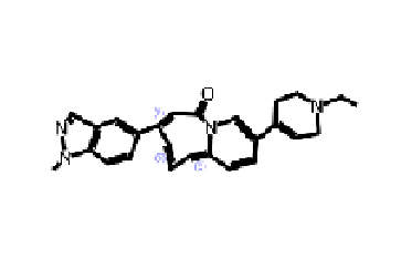 CCN1CC=C(C2=CN3C(=O)\C=C(c4ccc5c(cnn5C)c4)/C=C/C=C/3C=C2)CC1